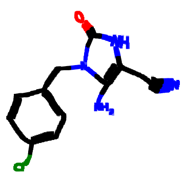 N#Cc1[nH]c(=O)n(Cc2ccc(Cl)cc2)c1N